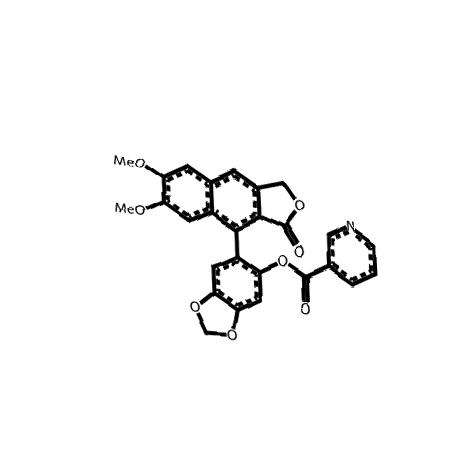 COc1cc2cc3c(c(-c4cc5c(cc4OC(=O)c4cccnc4)OCO5)c2cc1OC)C(=O)OC3